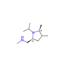 CNC[C@@H]1CC(C)[C@H](C)N1C(C)C